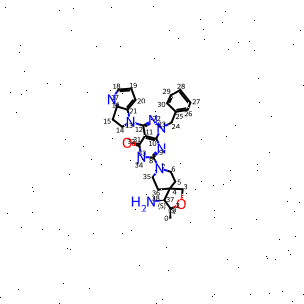 C[C@@H]1OCC2(CCN(c3nc4c(c(N5CCc6ncccc65)nn4Cc4ccccc4)c(=O)n3C)CC2)[C@@H]1N